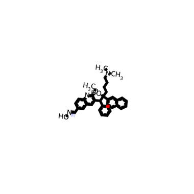 COc1nc2ccc(/C=N/O)cc2cc1C(c1ccccc1)C(O)(CCCCN(C)C)c1ccc2ccccc2c1